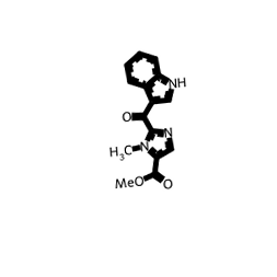 COC(=O)c1cnc(C(=O)c2c[nH]c3ccccc23)n1C